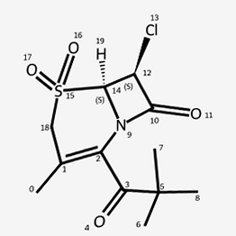 CC1=C(C(=O)C(C)(C)C)N2C(=O)[C@H](Cl)[C@@H]2S(=O)(=O)C1